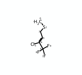 [CH2]SCC=C(Cl)C(F)(F)F